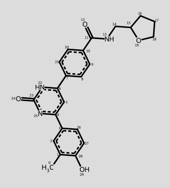 Cc1cc(-c2cc(-c3ccc(C(=O)NCC4CCCO4)cc3)[nH]c(=O)n2)ccc1O